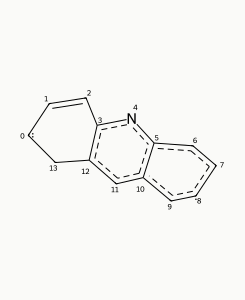 [C]1C=Cc2nc3cc[c]cc3cc2C1